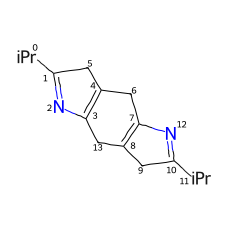 CC(C)C1=NC2=C(C1)CC1=C(CC(C(C)C)=N1)C2